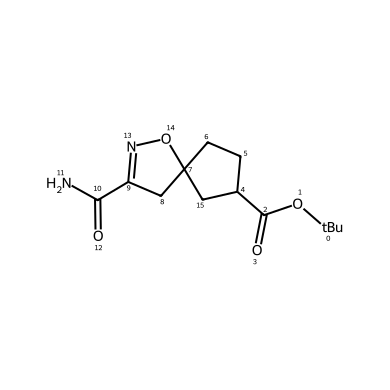 CC(C)(C)OC(=O)C1CCC2(CC(C(N)=O)=NO2)C1